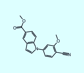 COC(=O)c1ccc2c(ccn2-c2ccc(C#N)c(OC)c2)c1